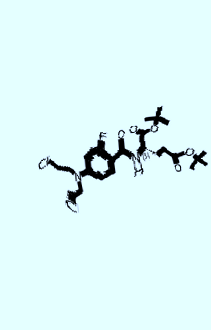 CC(C)(C)OC(=O)CC[C@H](NC(=O)c1ccc(N(CCCl)CCCl)cc1F)C(=O)OC(C)(C)C